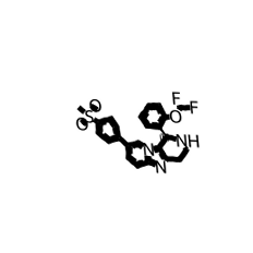 CS(=O)(=O)c1ccc(-c2ccc3nc4c(n3c2)[C@@H](c2ccccc2OC(F)F)NCC4)cc1